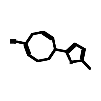 Cc1ccc(C2/C=C\C/C(S)=C\CC2)s1